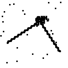 CCCCCCCCCCCCCCCCCCOC(=O)C(CCCCCCCCCCCCCCCCCC)(OC)C(N)=O